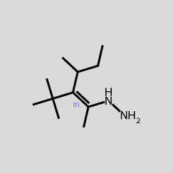 CCC(C)/C(=C(/C)NN)C(C)(C)C